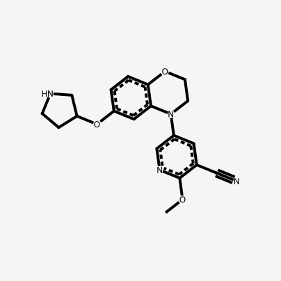 COc1ncc(N2CCOc3ccc(OC4CCNC4)cc32)cc1C#N